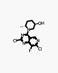 C[C@@H]1CC[C@@H](O)CN1c1nc(Cl)nc2c(F)c(Cl)ncc12